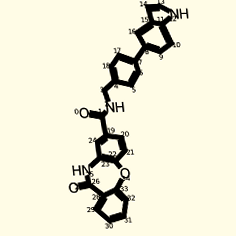 O=C(NCc1ccc(-c2ccc3[nH]ccc3c2)cc1)c1ccc2c(c1)NC(=O)c1ccccc1O2